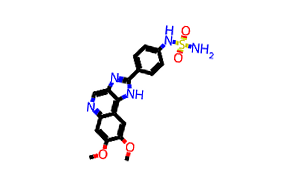 COc1cc2ncc3nc(-c4ccc(NS(N)(=O)=O)cc4)[nH]c3c2cc1OC